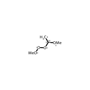 COOO[C@@H](C)OC